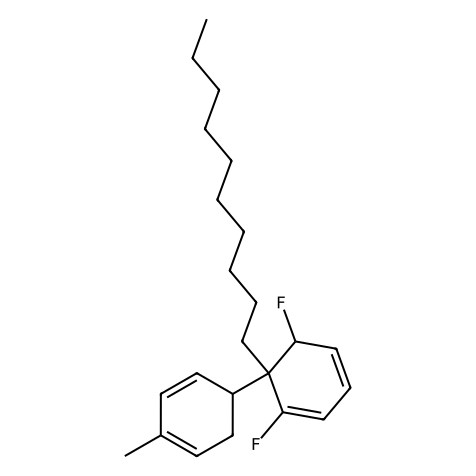 CCCCCCCCCCC1(C2C=CC(C)=CC2)C(F)=CC=CC1F